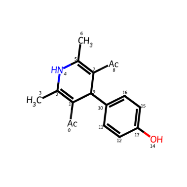 CC(=O)C1=C(C)NC(C)=C(C(C)=O)C1c1ccc(O)cc1